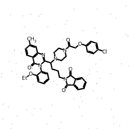 CCOc1ccccc1-n1c(C(CCCN2C(=O)c3ccccc3C2=O)N2CCN(C(=O)COc3ccc(Cl)cc3)CC2)nc2cc(C)ccc2c1=O